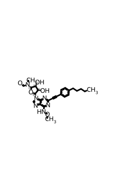 CCCCCc1ccc(C#Cc2nc(NOC)c3ncn([C@@H]4O[C@H](N(C)C=O)[C@@H](O)[C@H]4O)c3n2)cc1